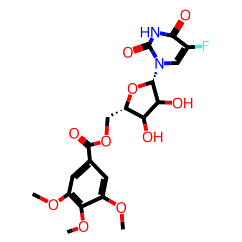 COc1cc(C(=O)OC[C@@H]2O[C@H](n3cc(F)c(=O)[nH]c3=O)C(O)C2O)cc(OC)c1OC